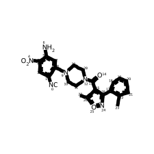 [C-]#[N+]c1cc([N+](=O)[O-])c(N)cc1N1CCN(C(=O)c2c(-c3ccccc3C)noc2C)CC1